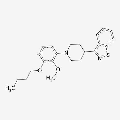 CCCCOc1[c]ccc(N2CCC(c3nsc4ccccc34)CC2)c1OC